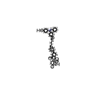 O=C1CCC(N2C(=O)c3ccc(N4CCN(CCCCCOc5ccc(/C(=C\c6ccccc6)c6ccc(O)cc6)cc5)CC4)cc3C2=O)C(=O)N1